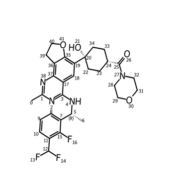 Cc1nc(N[C@H](C)c2cccc(C(F)F)c2F)c2cc([C@]3(O)CC[C@@H](C(=O)N4CCOCC4)CC3)c3c(c2n1)CCO3